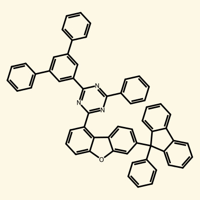 c1ccc(-c2cc(-c3ccccc3)cc(-c3nc(-c4ccccc4)nc(-c4cccc5oc6cc(C7(c8ccccc8)c8ccccc8-c8ccccc87)ccc6c45)n3)c2)cc1